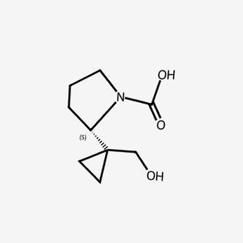 O=C(O)N1CCC[C@H]1C1(CO)CC1